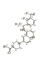 CC(C)C(=O)N1CCN(c2ccc3nccc(N[C@H](C)c4cccc(C(F)F)c4F)c3c2)CC1